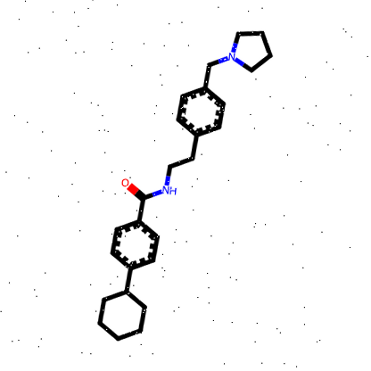 O=C(NCCc1ccc(CN2CCCC2)cc1)c1ccc(C2CCCCC2)cc1